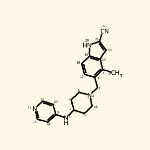 Cc1c(CN2CCC(Nc3ccncc3)CC2)ccc2[nH]c(C#N)cc12